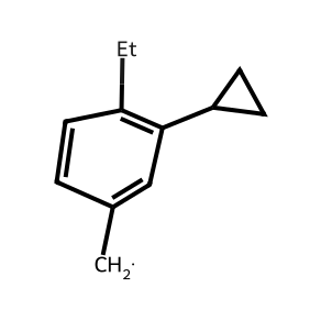 [CH2]c1ccc(CC)c(C2CC2)c1